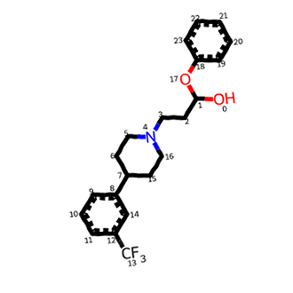 OC(CCN1CCC(c2cccc(C(F)(F)F)c2)CC1)Oc1ccccc1